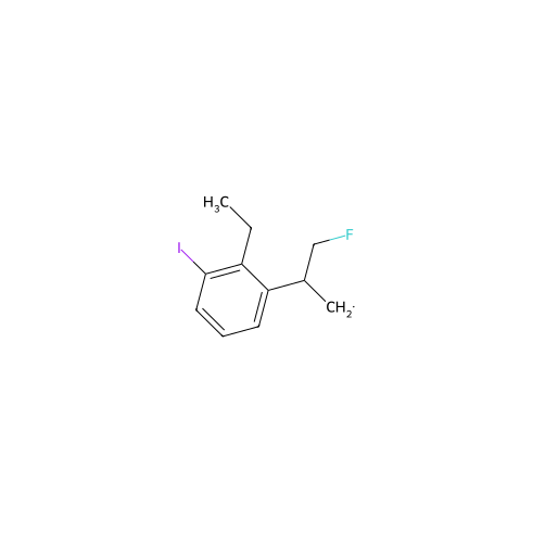 [CH2]C(CF)c1cccc(I)c1CC